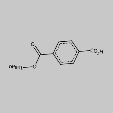 CCCCCOC(=O)c1ccc(C(=O)O)cc1